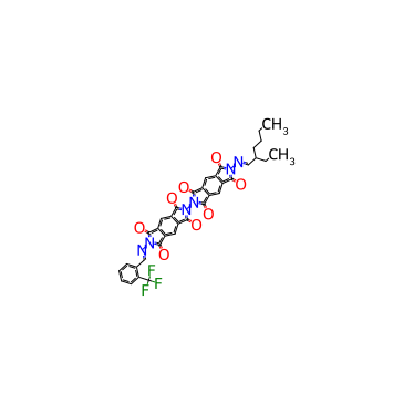 CCCCC(C=Nn1c(=O)c2cc3c(=O)n(-n4c(=O)c5cc6c(=O)n(N=Cc7ccccc7C(F)(F)F)c(=O)c6cc5c4=O)c(=O)c3cc2c1=O)CC